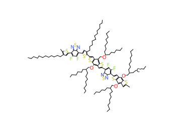 CCCCCCCCCCCCc1cc(-c2c(F)c(F)c(-c3cc(CCCCCCCCCCCC)c(-c4cc5c(COC(CCCCCC)CCCCCCCC)c6sc(-c7c(F)c(F)c(-c8cc9c(OCC(CCCCCC)CCCCCCCC)c%10sc(C)cc%10c(OCC(CCCCCC)CCCCCCCC)c9s8)c8nsnc78)cc6c(OCC(CCCCCC)CCCCCCCC)c5s4)s3)c3nsnc23)sc1C